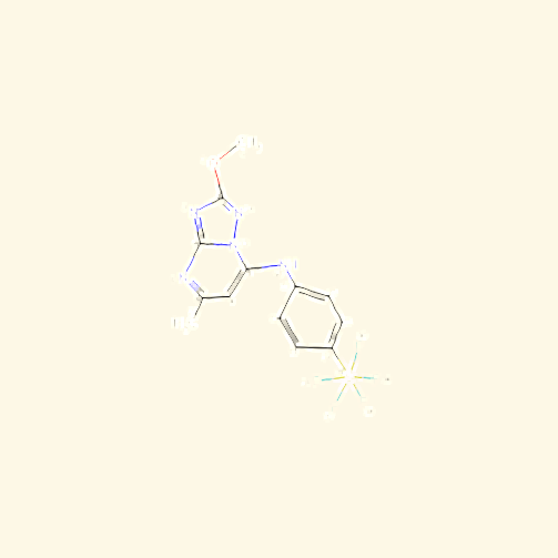 COc1nc2nc(C)cc(Nc3ccc(S(F)(F)(F)(F)F)cc3)n2n1